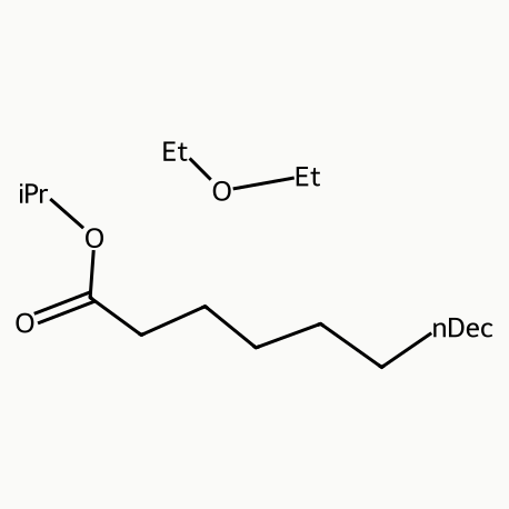 CCCCCCCCCCCCCCCC(=O)OC(C)C.CCOCC